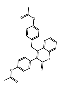 CC(=O)Oc1ccc(Cc2c(-c3ccc(OC(C)=O)cc3)c(=O)oc3ccccc23)cc1